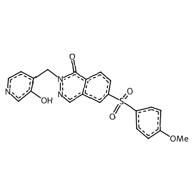 COc1ccc(S(=O)(=O)c2ccc3c(=O)n(Cc4ccncc4O)ncc3c2)cc1